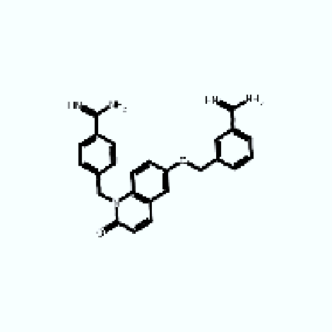 N=C(N)c1ccc(Cn2c(=O)ccc3cc(OCc4cccc(C(=N)N)c4)ccc32)cc1